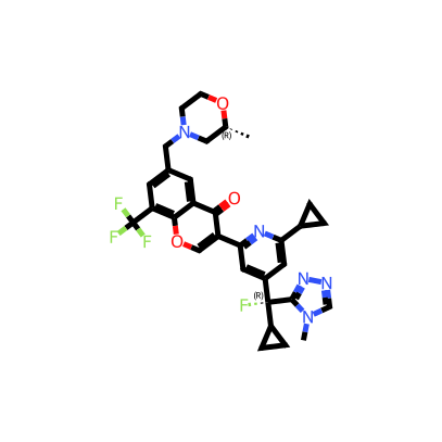 C[C@@H]1CN(Cc2cc(C(F)(F)F)c3occ(-c4cc([C@@](F)(c5nncn5C)C5CC5)cc(C5CC5)n4)c(=O)c3c2)CCO1